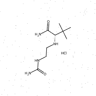 CC(C)(C)[C@H](NCCNC(N)=O)C(N)=O.Cl